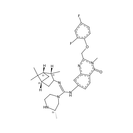 C[C@@H]1C(N=C(Nc2ccc3c(=O)n(C)c(COc4ccc(F)cc4F)nc3c2)N2CCN[C@@H](C)C2)C[C@H]2C[C@@H]1C2(C)C